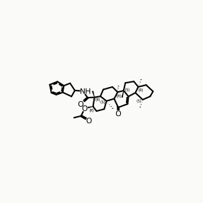 CC(=O)O[C@@H]1CC[C@@]2(C)C(CC[C@]3(C)C2C(=O)C=C2C4[C@@H](C)CCC[C@]4(C)CC[C@]23C)[C@@]1(C)C(=O)NC1Cc2ccccc2C1